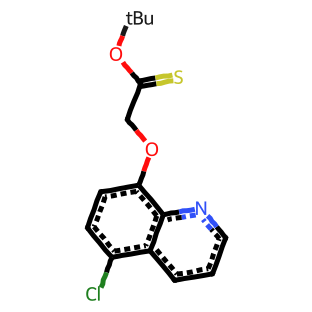 CC(C)(C)OC(=S)COc1ccc(Cl)c2cccnc12